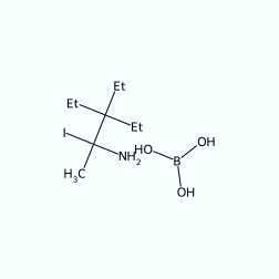 CCC(CC)(CC)C(C)(N)I.OB(O)O